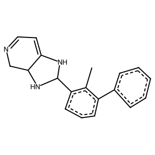 Cc1c(-c2ccccc2)cccc1C1NC2=CC=NCC2N1